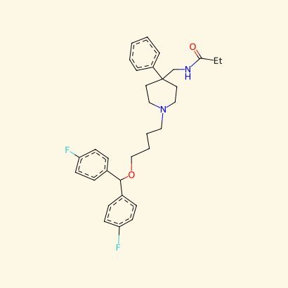 CCC(=O)NCC1(c2ccccc2)CCN(CCCCOC(c2ccc(F)cc2)c2ccc(F)cc2)CC1